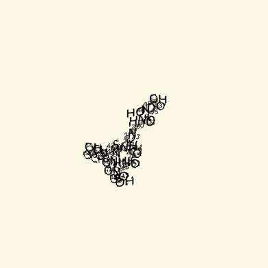 CC(C)(O/N=C(\C(=O)N[C@@H]1C(=O)N(S(=O)(=O)O)[C@@H]1CNC(=O)c1cc([C@@H]2CCN(CCNC(=O)c3cc(=O)c(O)cn3O)C2)co1)c1csc(N)n1)C(=O)O